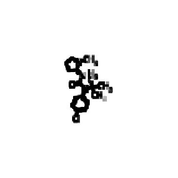 CN1CCCC1=NC(=O)N(c1ccc(Cl)cc1)C(C)(C)C